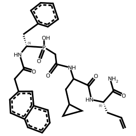 C=CC[C@H](NC(=O)C(CC1CC1)NC(=O)CP(=O)(O)[C@@H](Cc1ccccc1)NC(=O)Cc1ccc2ccccc2c1)C(N)=O